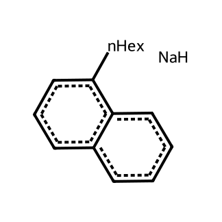 CCCCCCc1cccc2ccccc12.[NaH]